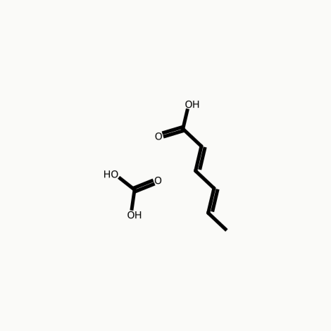 CC=CC=CC(=O)O.O=C(O)O